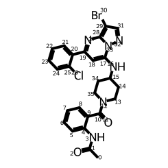 CC(=O)Nc1ccccc1C(=O)N1CCC(Nc2cc(-c3ccccc3Cl)nc3c(Br)cnn23)CC1